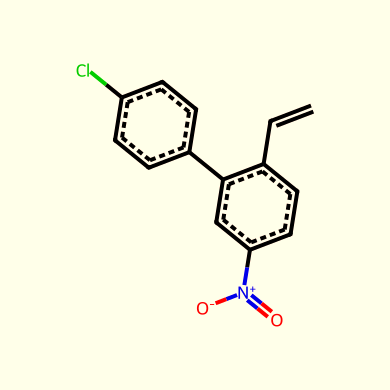 C=Cc1ccc([N+](=O)[O-])cc1-c1ccc(Cl)cc1